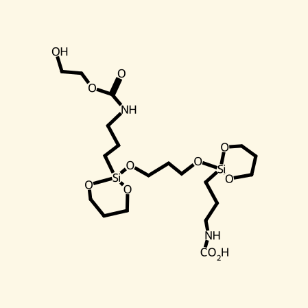 O=C(O)NCCC[Si]1(OCCCO[Si]2(CCCNC(=O)OCCO)OCCCO2)OCCCO1